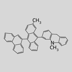 Cc1ccc2c(-c3cc4ccccc4c4ccccc34)c3ccccc3c(-c3ccc4c(c3)N(C)c3ccccc3C4)c2c1